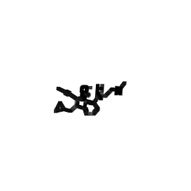 CC#Cc1c(CC2CC2)c2cccc(NCCN(C)C)c2[s+]1[O-]